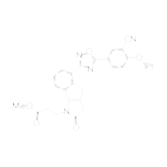 COC(=O)CCN1C(=O)CC2Cc3c(-c4noc(-c5ccc(OC(C)C)c(C#N)c5)n4)cccc3C21